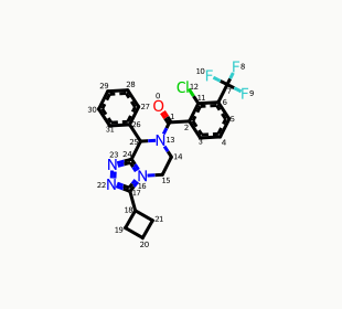 O=C(c1cccc(C(F)(F)F)c1Cl)N1CCn2c(C3CCC3)nnc2C1c1ccccc1